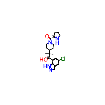 CC(C)(C1CCN(C(=O)[C@@H]2CCCN2)CC1)[C@H](O)c1cc(Cl)cc2cn[nH]c12